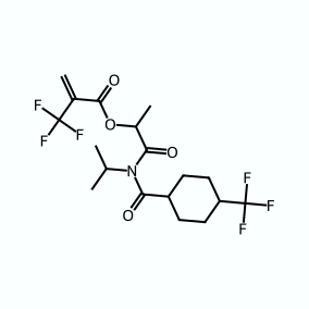 C=C(C(=O)OC(C)C(=O)N(C(=O)C1CCC(C(F)(F)F)CC1)C(C)C)C(F)(F)F